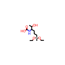 CCO[Si](C)(CCCC(NC(=O)O)C(C)O)OCC